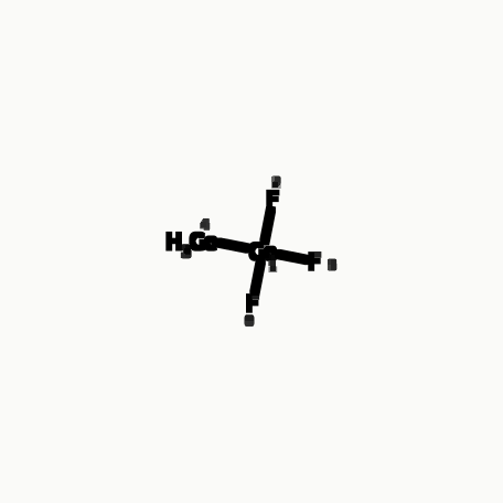 [F][Ge]([F])([F])[GeH3]